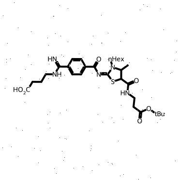 CCCCCCN1C(=NC(=O)c2ccc(C(=N)NCCCC(=O)O)cc2)SC(C(=O)NCCC(=O)OC(C)(C)C)C1C